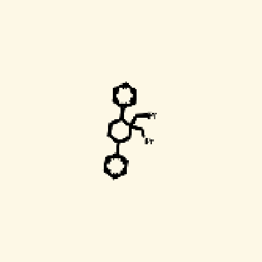 CC(C)CC1(CC(C)C)CC(c2ccccc2)CCC1c1ccccc1